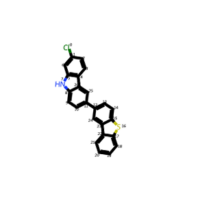 Clc1ccc2c(c1)[nH]c1ccc(-c3ccc4sc5ccccc5c4c3)cc12